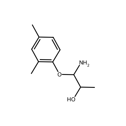 Cc1ccc(OC(N)C(C)O)c(C)c1